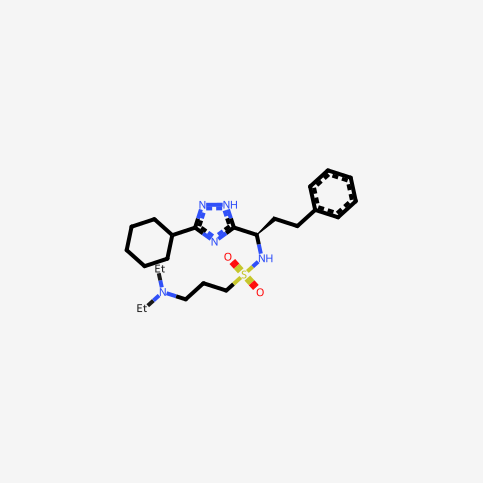 CCN(CC)CCCS(=O)(=O)N[C@H](CCc1ccccc1)c1nc(C2CCCCC2)n[nH]1